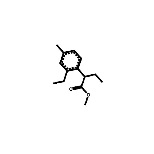 CCc1cc(C)ccc1C(CC)C(=O)OC